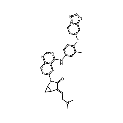 Cc1cc(Nc2ncnc3ccc(N4C(=O)C(=CCN(C)C)C5CC54)nc23)ccc1Oc1ccn2ncnc2c1